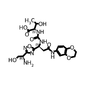 CC(O)[C@H](NC(=O)N[C@@H](CC(=O)Nc1ccc2c(c1)OCCO2)c1nc([C@@H](N)CO)no1)C(=O)O